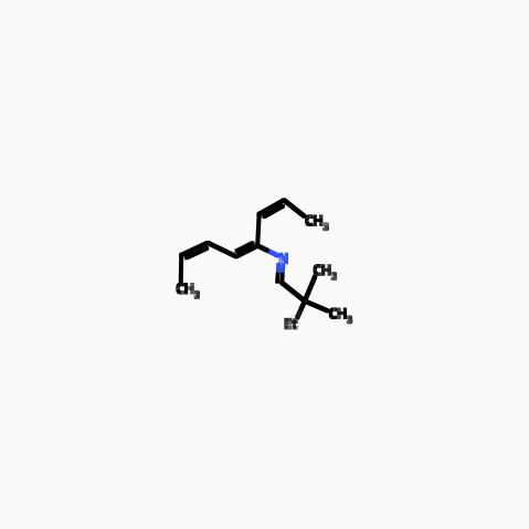 C\C=C/C=C(\C=C/C)/N=C/C(C)(C)CC